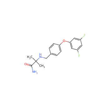 CC(C)(NCc1ccc(Oc2cc(F)cc(F)c2)cc1)C(N)=O